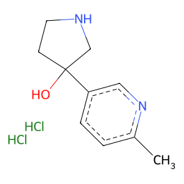 Cc1ccc(C2(O)CCNC2)cn1.Cl.Cl